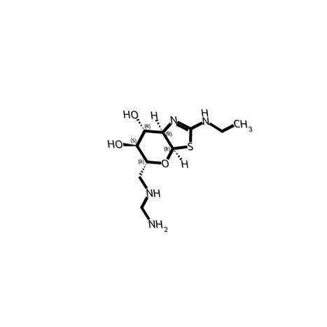 CCNC1=N[C@@H]2[C@@H](O)[C@H](O)[C@@H](CNCN)O[C@@H]2S1